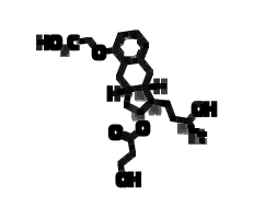 CC[C@H](O)CC[C@@H]1[C@H]2Cc3cccc(OCC(=O)O)c3C[C@H]2C[C@H]1OC(=O)CCO